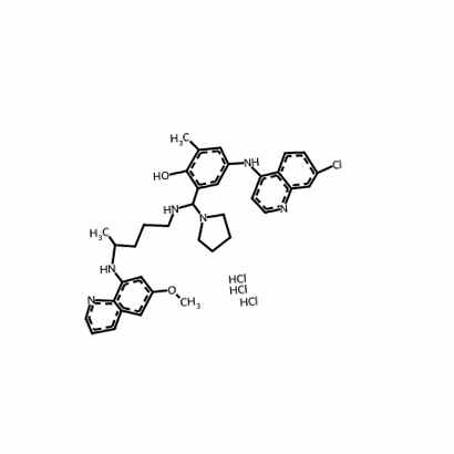 COc1cc(NC(C)CCCNC(c2cc(Nc3ccnc4cc(Cl)ccc34)cc(C)c2O)N2CCCC2)c2ncccc2c1.Cl.Cl.Cl